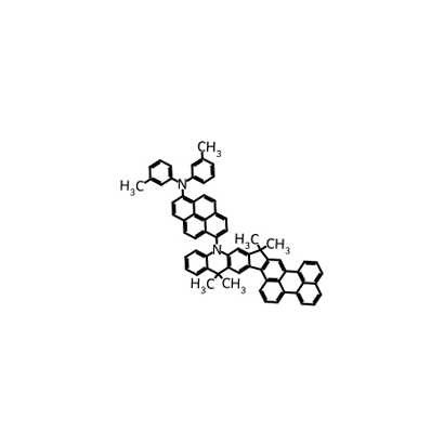 Cc1cccc(N(c2cccc(C)c2)c2ccc3ccc4c(N5c6ccccc6C(C)(C)c6cc7c(cc65)C(C)(C)c5cc6c8cccc9cccc(c%10cccc(c5-7)c%106)c98)ccc5ccc2c3c54)c1